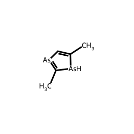 CC1=C[As]=C(C)[AsH]1